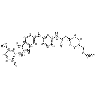 COCCN1CCN(CC(=O)Nc2cc(Oc3ccc4c(c3)nc(Nc3cc(C(C)(C)C)ccc3F)n4C)ccn2)CC1